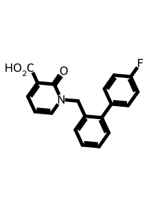 O=C(O)c1cccn(Cc2ccccc2-c2ccc(F)cc2)c1=O